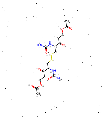 CC(=O)OCCC(=O)C(CSSCC(NC(N)=O)C(=O)CCOC(C)=O)NC(N)=O